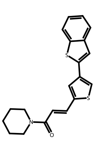 O=C(C=Cc1cc(-c2cc3ccccc3s2)cs1)N1CCCCC1